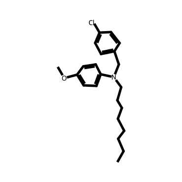 CCCCCCCCN(Cc1ccc(Cl)cc1)c1ccc(OC)cc1